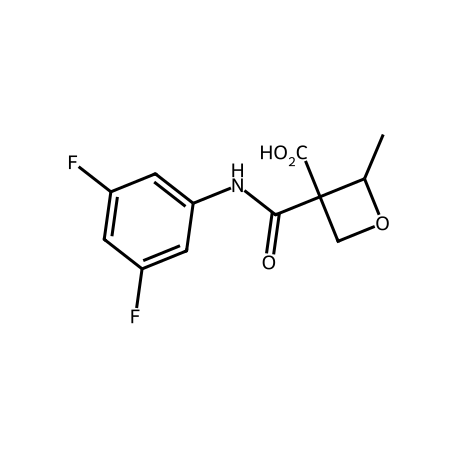 CC1OCC1(C(=O)O)C(=O)Nc1cc(F)cc(F)c1